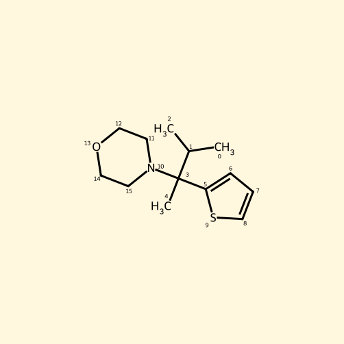 CC(C)C(C)(c1cccs1)N1CCOCC1